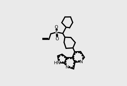 C=CCS(=O)(=O)C(C1[CH]CCCC1)C1CCC(c2ccnc3cnc4[nH]ccc4c23)CC1